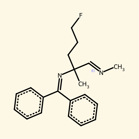 C/N=C/C(C)(CCCF)N=C(c1ccccc1)c1ccccc1